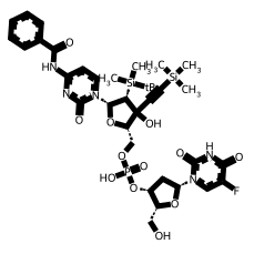 CC(C)(C)[Si](C)(C)[C@H]1[C@@H](n2ccc(NC(=O)c3ccccc3)nc2=O)O[C@@H](COP(=O)(O)O[C@@H]2C[C@H](n3cc(F)c(=O)[nH]c3=O)O[C@@H]2CO)C1(O)C#C[Si](C)(C)C